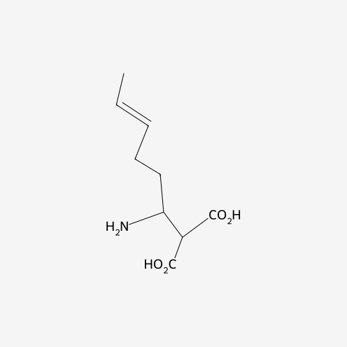 CC=CCCC(N)C(C(=O)O)C(=O)O